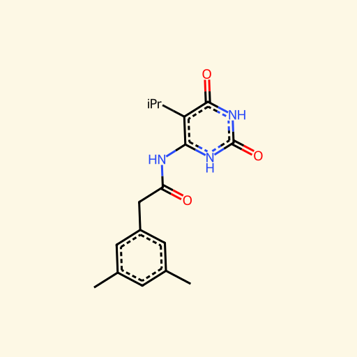 Cc1cc(C)cc(CC(=O)Nc2[nH]c(=O)[nH]c(=O)c2C(C)C)c1